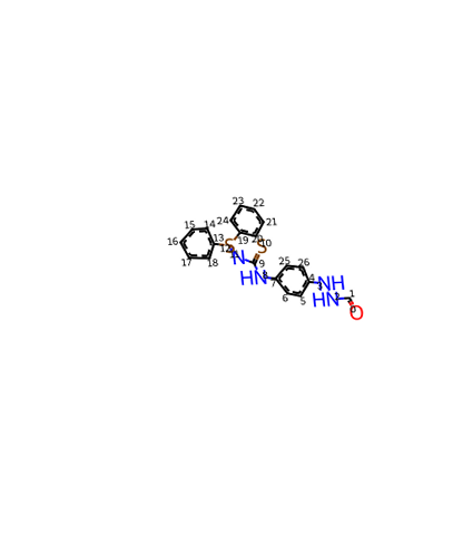 O=CNNc1ccc(NC(=S)N=S(c2ccccc2)c2ccccc2)cc1